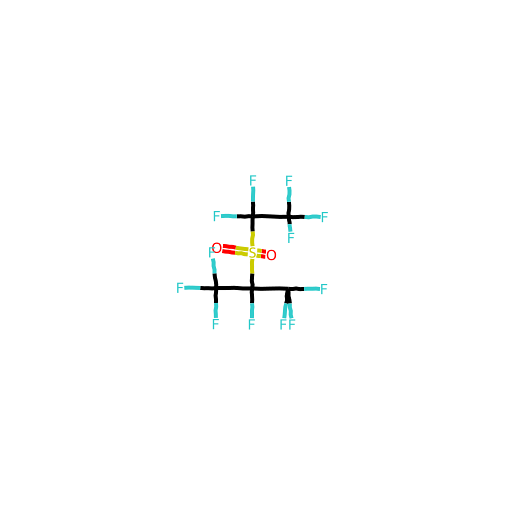 O=S(=O)(C(F)(F)C(F)(F)F)C(F)(C(F)(F)F)C(F)(F)F